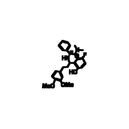 COc1ccc(CCC(N[C@@H](C(=O)N(C)C)c2ccccc2)c2cc(F)ccc2O)cc1OC